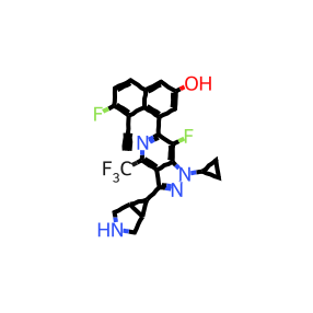 C#Cc1c(F)ccc2cc(O)cc(-c3nc(C(F)(F)F)c4c(C5C6CNCC65)nn(C5CC5)c4c3F)c12